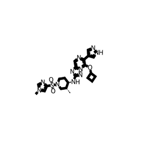 C[C@@H]1CN(S(=O)(=O)c2cn(C)cn2)CC[C@@H]1Nc1nc2cnc(-c3cn[nH]c3)c(OC3CCC3)n2n1